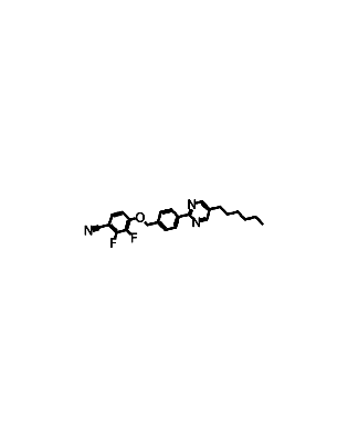 CCCCCCc1cnc(-c2ccc(COc3ccc(C#N)c(F)c3F)cc2)nc1